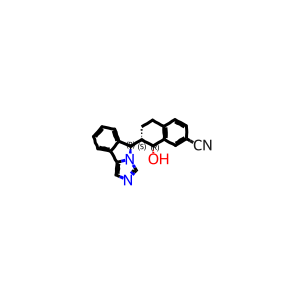 N#Cc1ccc2c(c1)[C@H](O)[C@H]([C@@H]1c3ccccc3-c3cncn31)CC2